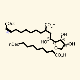 CCCCCCCC/C=C\CCCCCCC(C[C@@H](O)[C@H]1OC[C@H](O)[C@H]1O)C(=O)O.CCCCCCCCCCCCCCCCCC(=O)O